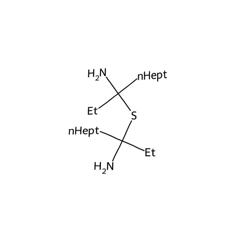 CCCCCCCC(N)(CC)SC(N)(CC)CCCCCCC